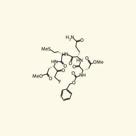 COC(=O)C[C@H](NC(=O)[C@H](CCSC)NC(=O)[C@H](CCC(N)=O)NC(=O)[C@H](CC(=O)OC)NC(=O)OCc1ccccc1)C(=O)CF